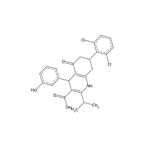 CC(C)C1=C(C(=O)O)C(c2cccc(O)c2)C2=C(CC(c3c(Cl)cccc3Cl)CC2=O)N1